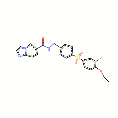 CCOc1ccc(S(=O)(=O)c2ccc(CNC(=O)c3ccc4nccn4c3)cc2)cc1F